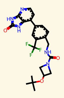 CC(C)(C)OC1CN(C(=O)NCc2ccc(-c3ccnc4[nH]c(=O)[nH]c34)cc2C(F)(F)F)C1